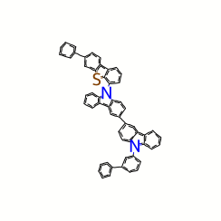 c1ccc(-c2cccc(-n3c4ccccc4c4cc(-c5ccc6c(c5)c5ccccc5n6-c5cccc6c5sc5cc(-c7ccccc7)ccc56)ccc43)c2)cc1